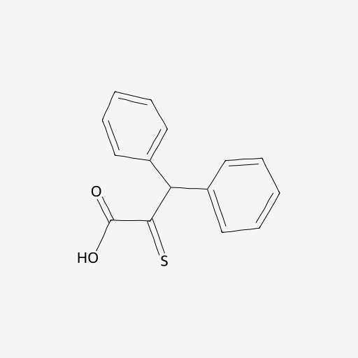 O=C(O)C(=S)C(c1ccccc1)c1ccccc1